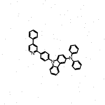 c1ccc(-c2ccnc(-c3ccc(-n4c5ccccc5c5cc(N(c6ccccc6)c6ccccc6)ccc54)cc3)c2)cc1